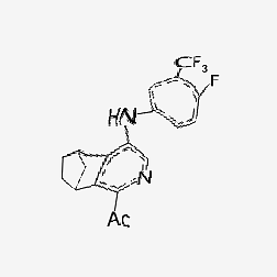 CC(=O)c1ncc(Nc2ccc(F)c(C(F)(F)F)c2)c2c1C1CCC2C1